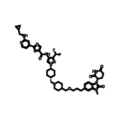 Cn1c(=O)n(C2CCC(=O)NC2=O)c2ccc(CCCOCC3CCN(C[C@H]4CC[C@H](n5cc(NC(=O)c6coc(-c7ccnc(NCC8CC8)c7)n6)c(C(F)F)n5)CC4)CC3)cc21